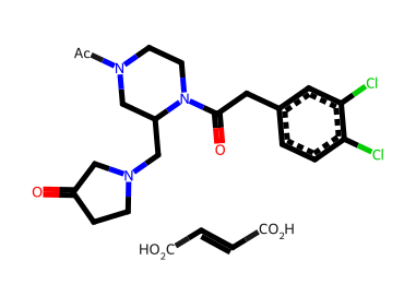 CC(=O)N1CCN(C(=O)Cc2ccc(Cl)c(Cl)c2)C(CN2CCC(=O)C2)C1.O=C(O)C=CC(=O)O